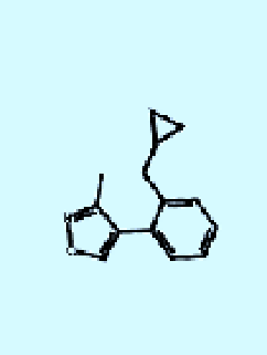 Cc1nocc1-c1ccccc1CC1CC1